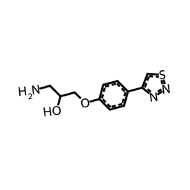 NCC(O)COc1ccc(-c2csnn2)cc1